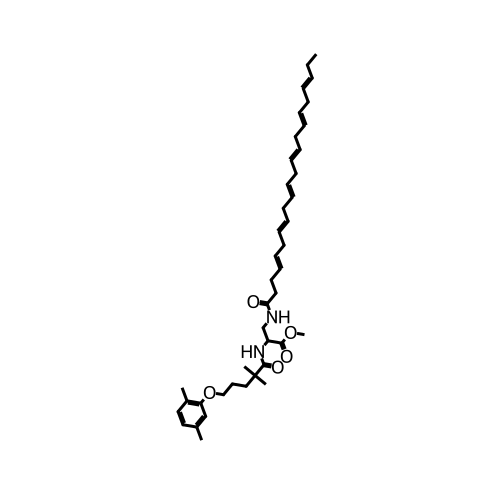 CCC=CCC=CCC=CCC=CCC=CCC=CCCC(=O)NCC(NC(=O)C(C)(C)CCCOc1cc(C)ccc1C)C(=O)OC